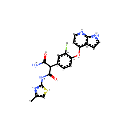 Cc1csc(NC(=O)C(C(N)=O)c2ccc(Oc3ccnc4[nH]ccc34)c(F)c2)n1